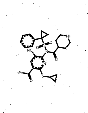 CCCC(=O)c1cc(C#N)c(N(C(=O)C2CCNCC2)S(=O)(=O)C2(c3ccccc3)CC2)nc1SC1CC1